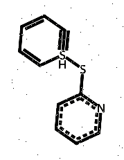 C1#[SH](Sc2ccccn2)C=CC=C1